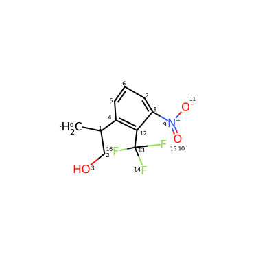 [CH2]C(CO)c1cccc([N+](=O)[O-])c1C(F)(F)F